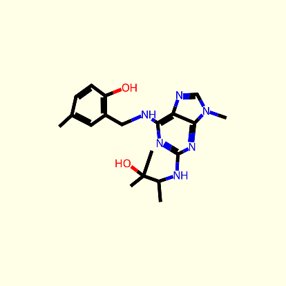 Cc1ccc(O)c(CNc2nc(NC(C)C(C)(C)O)nc3c2ncn3C)c1